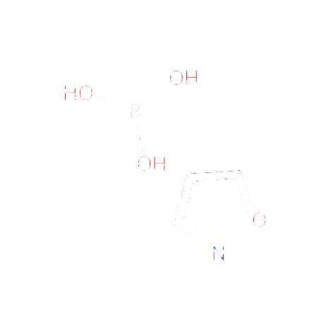 OB(O)O.c1cnoc1